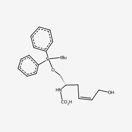 CC(C)(C)[Si](OC[C@H](C/C=C\CO)NC(=O)O)(c1ccccc1)c1ccccc1